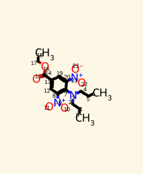 CCCN(CCC)c1c([N+](=O)[O-])cc(C(=O)OCC)cc1[N+](=O)[O-]